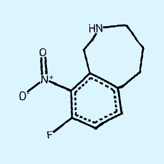 O=[N+]([O-])c1c(F)ccc2c1CNCCC2